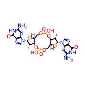 C[C@H]1C2OP(=O)(O)OC[C@H]3O[C@@H](n4cnc5c(=O)[nH]c(N)nc54)[C@@H](C)C3OP(=O)(O)OC[C@H]2O[C@H]1n1cnc2c(=O)[nH]c(N)nc21